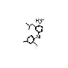 CCc1cc(C)ccc1Nc1ccc(NC)c(CC(C)C)c1